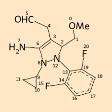 COCC1C(CC=O)=C(N)N(C2CC2)N1c1c(F)cccc1F